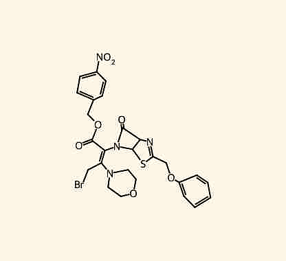 O=C(OCc1ccc([N+](=O)[O-])cc1)C(=C(CBr)N1CCOCC1)N1C(=O)C2N=C(COc3ccccc3)SC21